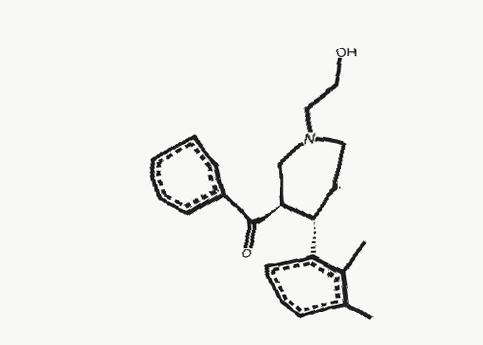 Cc1cccc([C@H]2[CH]CN(CCO)C[C@@H]2C(=O)c2ccccc2)c1C